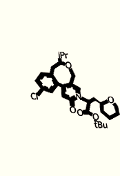 CC(C)C1Cc2ccc(Cl)cc2-c2cc(=O)n(C(C[C@@H]3CCCCO3)C(=O)OC(C)(C)C)cc2CO1